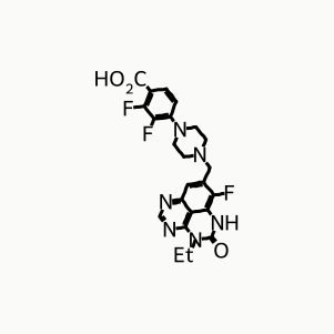 CCN1C(=O)Nc2c(F)c(CN3CCN(c4ccc(C(=O)O)c(F)c4F)CC3)cc3ncnc1c23